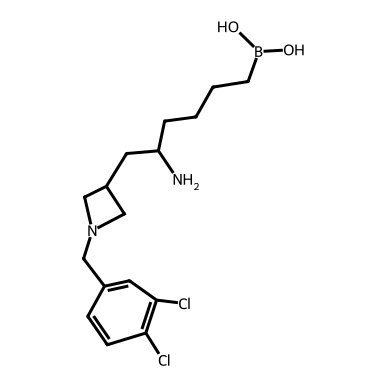 NC(CCCCB(O)O)CC1CN(Cc2ccc(Cl)c(Cl)c2)C1